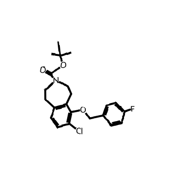 CC(C)(C)OC(=O)N1CCc2ccc(Cl)c(OCc3ccc(F)cc3)c2CC1